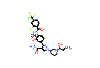 C=CC(O)N1CCC[C@@H](n2cc(C(N)=O)c(-c3ccc(NC(=O)c4ccc(C(F)(F)F)cc4F)c(OC)c3)n2)C1